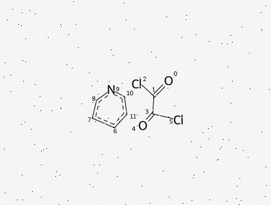 O=C(Cl)C(=O)Cl.c1ccncc1